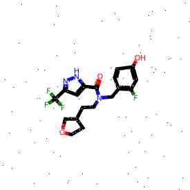 O=C(c1cc(C(F)(F)F)n[nH]1)N(CCC1CCOC1)Cc1ccc(O)cc1F